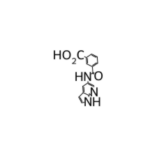 O=C(O)c1cccc(C(=O)Nc2cnc3[nH]ccc3c2)c1